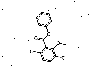 COc1c(Cl)ccc(Cl)c1C(=O)Oc1ccccc1